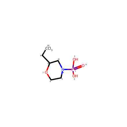 O=P(O)(O)N1CCOC(CC(Cl)(Cl)Cl)C1